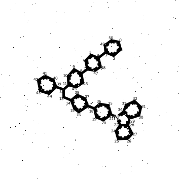 c1ccc(-c2ccc(-c3ccc(C(Cc4ccc(-c5ccc(-n6c7ccccc7c7ccccc76)cc5)cc4)c4ccccc4)cc3)cc2)cc1